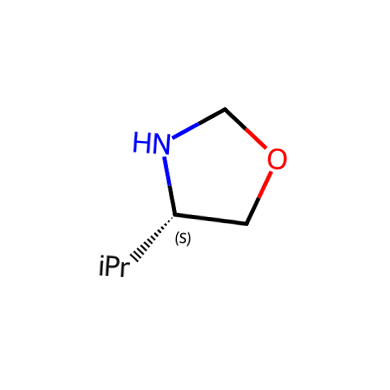 CC(C)[C@H]1COCN1